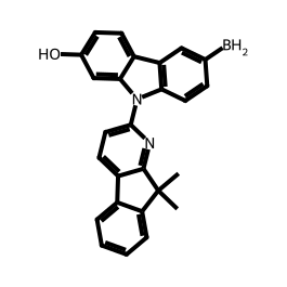 Bc1ccc2c(c1)c1ccc(O)cc1n2-c1ccc2c(n1)C(C)(C)c1ccccc1-2